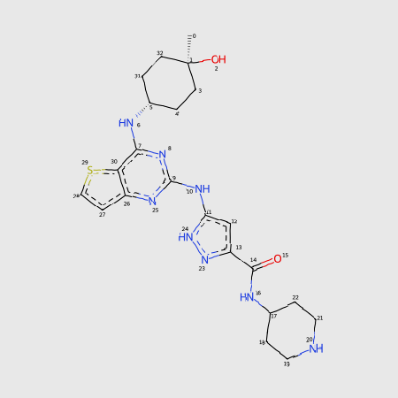 C[C@]1(O)CC[C@H](Nc2nc(Nc3cc(C(=O)NC4CCNCC4)n[nH]3)nc3ccsc23)CC1